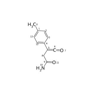 Cc1ccc(C(=C=O)CC(N)=O)cc1